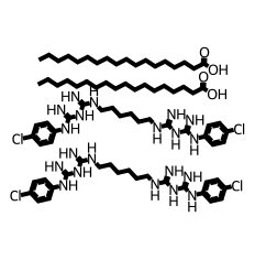 CCCCCCCCCCCCCCCCCC(=O)O.CCCCCCCCCCCCCCCCCC(=O)O.N=C(NCCCCCCNC(=N)NC(=N)Nc1ccc(Cl)cc1)NC(=N)Nc1ccc(Cl)cc1.N=C(NCCCCCCNC(=N)NC(=N)Nc1ccc(Cl)cc1)NC(=N)Nc1ccc(Cl)cc1